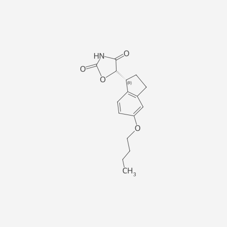 CCCCOc1ccc2c(c1)CC[C@H]2C1OC(=O)NC1=O